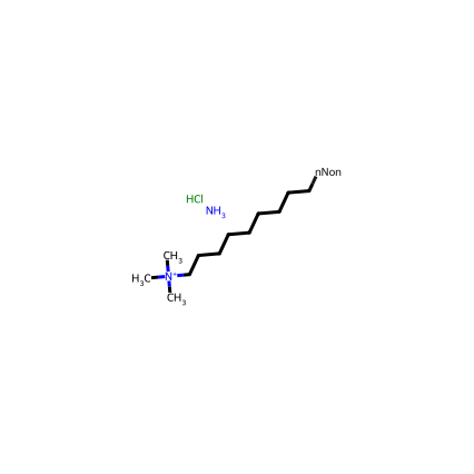 CCCCCCCCCCCCCCCCCC[N+](C)(C)C.Cl.N